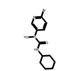 O=C(NC1CCCCC1)N(O)c1ccc(Br)nc1